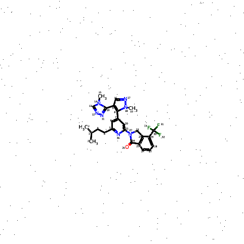 CC(C)CCc1cc(-c2c(-c3nncn3C)cnn2C)cc(N2Cc3c(cccc3C(F)(F)F)C2=O)n1